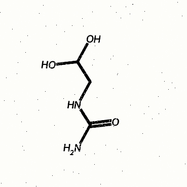 NC(=O)NCC(O)O